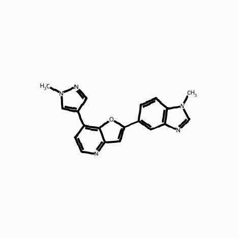 Cn1cc(-c2ccnc3cc(-c4ccc5c(c4)ncn5C)oc23)cn1